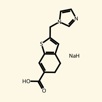 O=C(O)C1=Cc2sc(Cn3ccnc3)cc2CC1.[NaH]